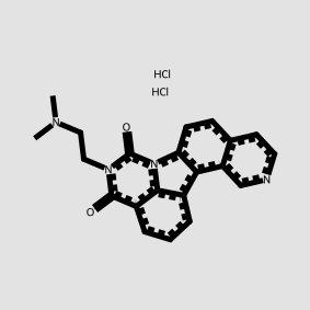 CN(C)CCn1c(=O)c2cccc3c4c5cnccc5ccc4n(c1=O)c23.Cl.Cl